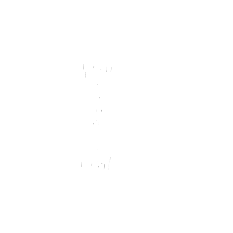 CC(C)(C)CCOCCOCCOCCOCCOCCOCCC(C)(C)C